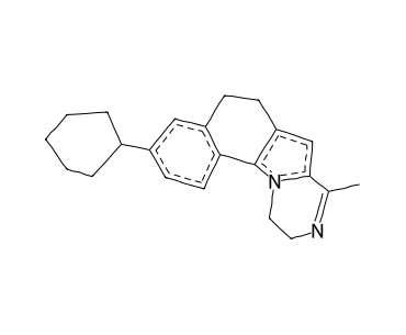 CC1=NCCn2c1cc1c2-c2ccc(C3CCCCC3)cc2CC1